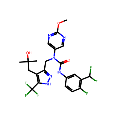 COc1ncc(N(Cc2n[nH]c(C(F)(F)F)c2CC(C)(C)O)C(=O)Nc2ccc(F)c(C(F)F)c2)cn1